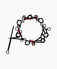 O=C1c2ccc3c4c5ccc(c24)C(=O)N1C1CCCC[C@H]1N1C(=O)c2ccc4c6c(ccc(c26)C1=O)C(=O)N(C4=O)C1CCCC[C@H]1N1C(=O)c2ccc4c6ccc7c8c(ccc(c9ccc(c2c49)C1=O)c86)C(=O)N(C7=O)C1CCCC[C@H]1N(C3=O)C5=O